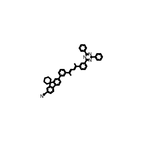 C/C(=C\C=C(/C)c1cccc(-c2nc(-c3ccccc3)nc(-c3ccccc3)n2)c1)c1cccc(-c2ccc3c(c2)C2(CCCCC2)c2cc(C#N)ccc2-3)c1